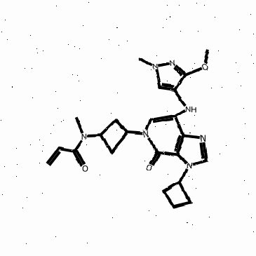 C=CC(=O)N(C)C1CC(n2cc(Nc3cn(C)nc3OC)c3ncn(C4CCC4)c3c2=O)C1